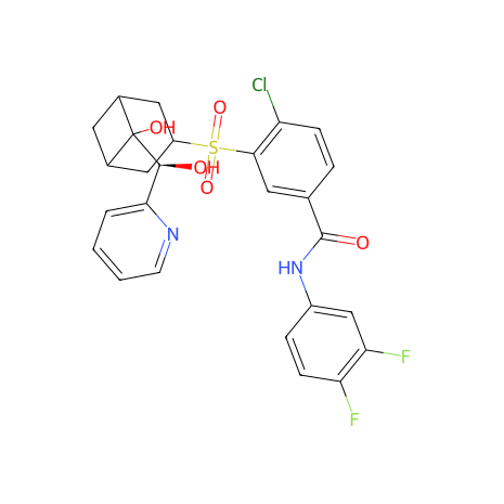 O=C(Nc1ccc(F)c(F)c1)c1ccc(Cl)c(S(=O)(=O)C2CC3CC(C2)C3(O)[C@@H](O)c2ccccn2)c1